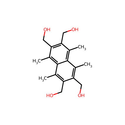 Cc1c(CO)c(CO)c(C)c2c(C)c(CO)c(CO)c(C)c12